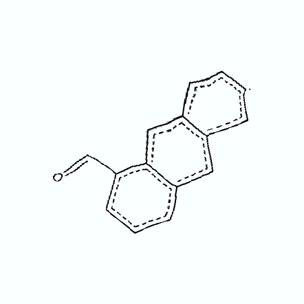 O=Cc1cccc2cc3c[c]ccc3cc12